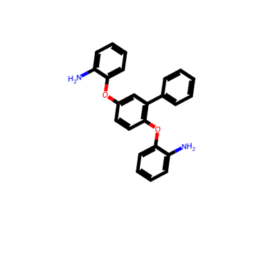 Nc1ccccc1Oc1ccc(Oc2ccccc2N)c(-c2ccccc2)c1